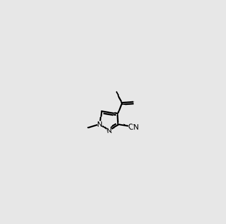 C=C(C)c1cn(C)nc1C#N